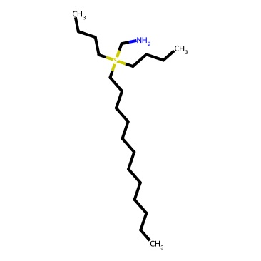 CCCCCCCCCCCCS(CN)(CCCC)CCCC